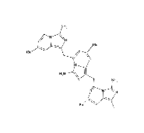 Cc1nc(N)n2c(Cc3nc(N)n4c(Cc5nc(N)n6ccc(C(C)(C)C)cc56)cc(C(C)(C)C)nc34)nc(C(C)(C)C)cc12